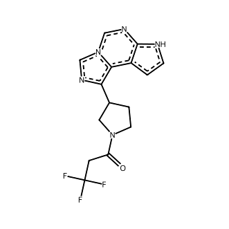 O=C(CC(F)(F)F)N1CCC(c2ncn3cnc4[nH]ccc4c23)C1